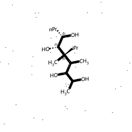 CCC[C@H](O)[C@@H](O)[C@](C)(C(C)C)C(C)C(O)C(C)O